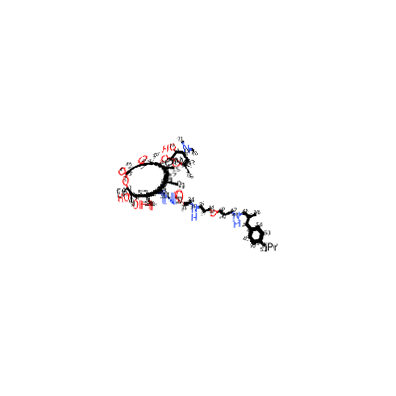 CC[C@H]1OC(=O)[C@H](C)C(=O)[C@H](C)[C@@H](O[C@@H]2O[C@H](C)C[C@H](N(C)C)[C@H]2O)[C@@](C)(OC)C[C@@H](C)/C(=N\OCCNCCCOCCCNCC(C)Cc2ccc(C(C)C)cc2)[C@@H](C)[C@@H](O)[C@]1(C)O